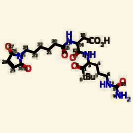 CC(C)(C)C(=O)[C@H](CCCNC(N)=O)NC(=O)[C@H](CC(=O)O)NC(=O)CCCCCN1C(=O)C=CC1=O